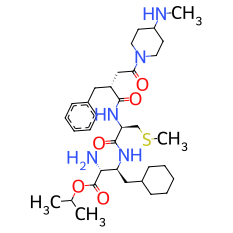 CNC1CCN(C(=O)C[C@@H](Cc2ccccc2)C(=O)N[C@@H](CSC)C(=O)N[C@@H](CC2CCCCC2)[C@@H](N)C(=O)OC(C)C)CC1